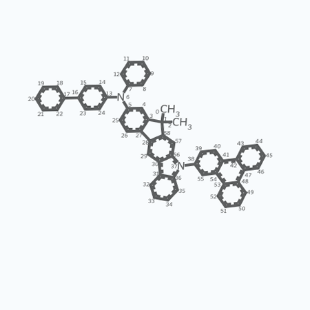 CC1(C)c2cc(N(c3ccccc3)c3ccc(-c4ccccc4)cc3)ccc2-c2cc3c4ccccc4n(-c4ccc5c6ccccc6c6ccccc6c5c4)c3cc21